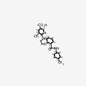 O=C(O)c1cnc(N2CCOc3c(C(=O)Nc4ccc(C(F)(F)F)cc4)cccc32)c(Cl)c1